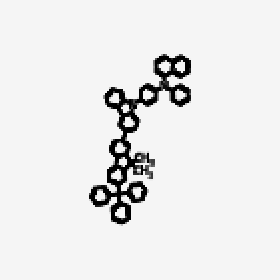 CC1(C)c2cc(-c3ccc4c(c3)c3ccccc3n4-c3ccc(N(c4ccccc4)c4cccc5ccccc45)cc3)ccc2-c2ccc(C(c3ccccc3)(c3ccccc3)c3ccccc3)cc21